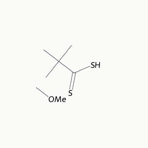 CC(C)(C)C(=S)S.COC